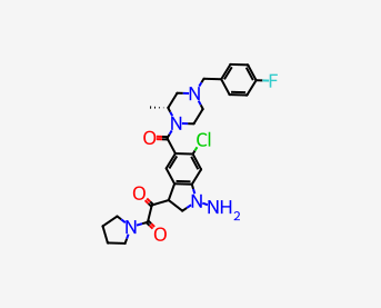 C[C@@H]1CN(Cc2ccc(F)cc2)CCN1C(=O)c1cc2c(cc1Cl)N(N)CC2C(=O)C(=O)N1CCCC1